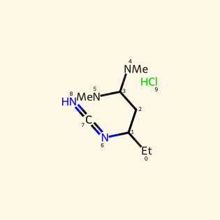 CCC(CC(NC)NC)N=C=N.Cl